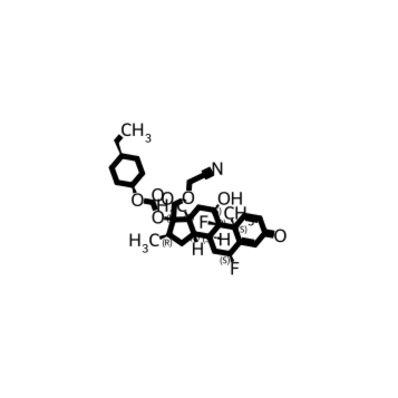 CC[C@H]1CC[C@@H](OC(=O)O[C@]2(C(=O)OCC#N)[C@H](C)C[C@H]3[C@@H]4C[C@H](F)C5=CC(=O)C=C[C@]5(C)[C@@]4(F)[C@@H](O)C[C@@]32C)CC1